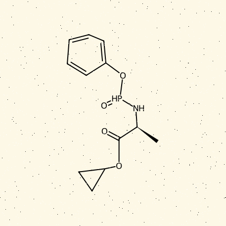 C[C@H](N[PH](=O)Oc1ccccc1)C(=O)OC1CC1